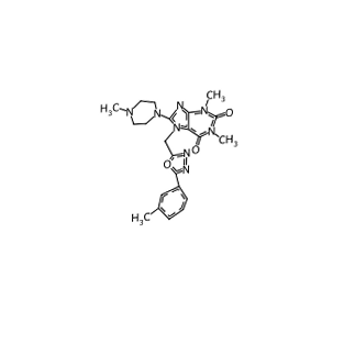 Cc1cccc(-c2nnc(Cn3c(N4CCN(C)CC4)nc4c3c(=O)n(C)c(=O)n4C)o2)c1